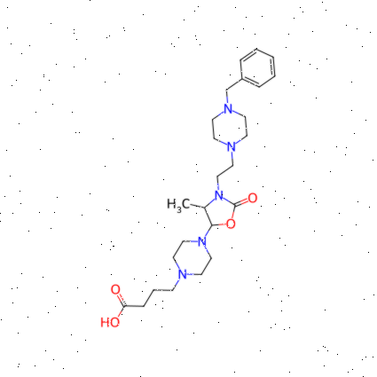 CC1C(N2CCN(CCCC(=O)O)CC2)OC(=O)N1CCN1CCN(Cc2ccccc2)CC1